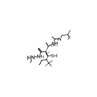 C=C(NNC)/C(=C(/S)C(CC)C(C)(C)C)C(C)N/C(C)=N/CC(C)F